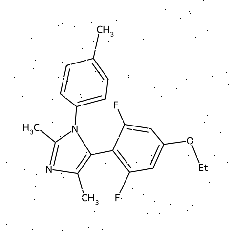 CCOc1cc(F)c(-c2c(C)nc(C)n2-c2ccc(C)cc2)c(F)c1